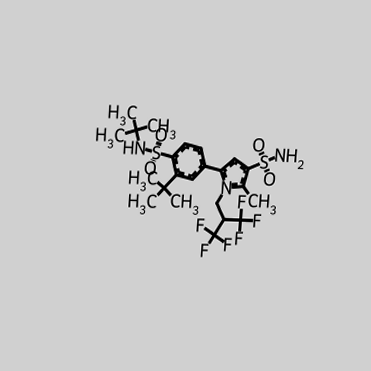 Cc1c(S(N)(=O)=O)cc(-c2ccc(S(=O)(=O)NC(C)(C)C)c(C(C)(C)C)c2)n1CC(C(F)(F)F)C(F)(F)F